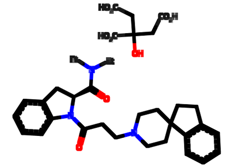 CCN(CC)C(=O)[C@@H]1Cc2ccccc2N1C(=O)CCN1CCC2(CCc3ccccc32)CC1.O=C(O)CC(O)(CC(=O)O)C(=O)O